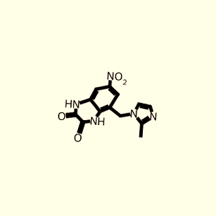 Cc1nccn1Cc1cc([N+](=O)[O-])cc2[nH]c(=O)c(=O)[nH]c12